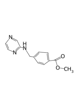 COC(=O)c1ccc(CNc2cnccn2)cc1